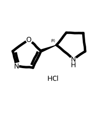 Cl.c1ncc([C@H]2CCCN2)o1